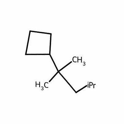 CC(C)CC(C)(C)C1CCC1